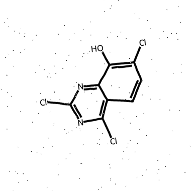 Oc1c(Cl)ccc2c(Cl)nc(Cl)nc12